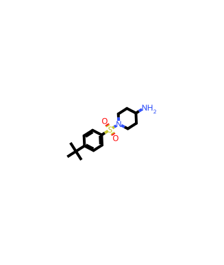 CC(C)(C)c1ccc(S(=O)(=O)N2CCC(N)CC2)cc1